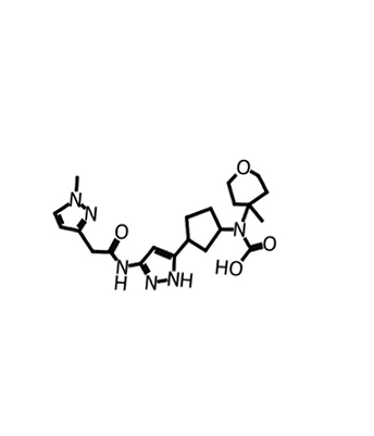 Cn1ccc(CC(=O)Nc2cc(C3CCC(N(C(=O)O)C4(C)CCOCC4)C3)[nH]n2)n1